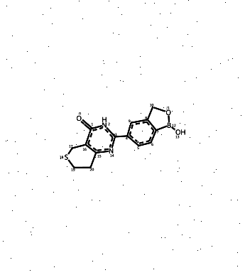 O=c1[nH]c(-c2ccc3c(c2)COB3O)nc2c1CSCC2